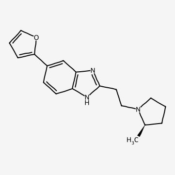 C[C@@H]1CCCN1CCc1nc2cc(-c3ccco3)ccc2[nH]1